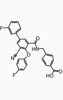 N#Cc1cc(-c2cccc(F)c2)cc(C(=O)NCc2ccc(C(=O)O)cc2)c1Oc1ccc(F)cc1